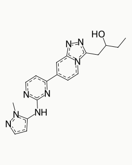 CCC(O)Cc1nnc2cc(-c3ccnc(Nc4ccnn4C)n3)ccn12